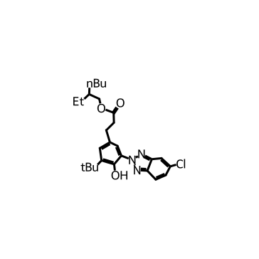 CCCCC(CC)COC(=O)CCc1cc(-n2nc3ccc(Cl)cc3n2)c(O)c(C(C)(C)C)c1